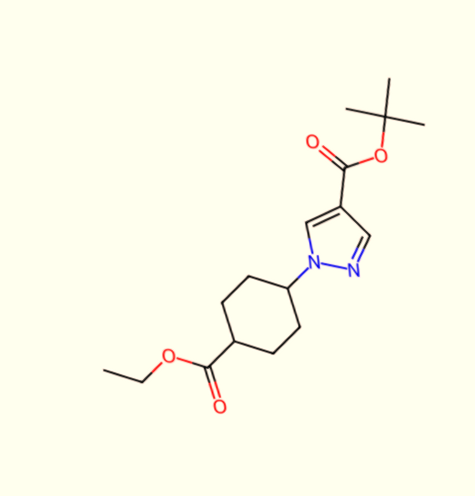 CCOC(=O)C1CCC(n2cc(C(=O)OC(C)(C)C)cn2)CC1